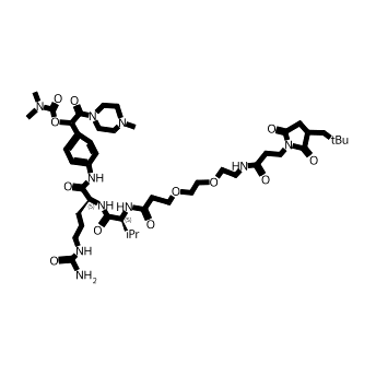 CC(C)[C@H](NC(=O)CCOCCOCCNC(=O)CCN1C(=O)CC(CC(C)(C)C)C1=O)C(=O)N[C@@H](CCCNC(N)=O)C(=O)Nc1ccc(C(OC(=O)N(C)C)C(=O)N2CCN(C)CC2)cc1